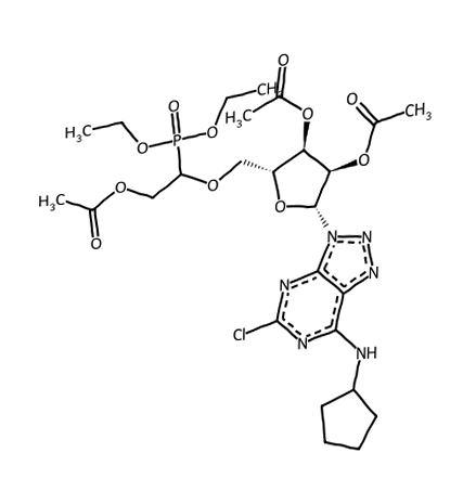 CCOP(=O)(OCC)C(COC(C)=O)OC[C@H]1O[C@@H](n2nnc3c(NC4CCCC4)nc(Cl)nc32)[C@H](OC(C)=O)[C@@H]1OC(C)=O